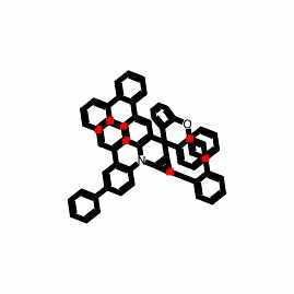 c1ccc(-c2ccc(N3c4ccc(-c5ccccc5-c5ccccc5)cc4C4(c5ccccc5Oc5ccccc54)c4cc(-c5ccccc5-c5ccccc5)ccc43)c(-c3ccccc3)c2)cc1